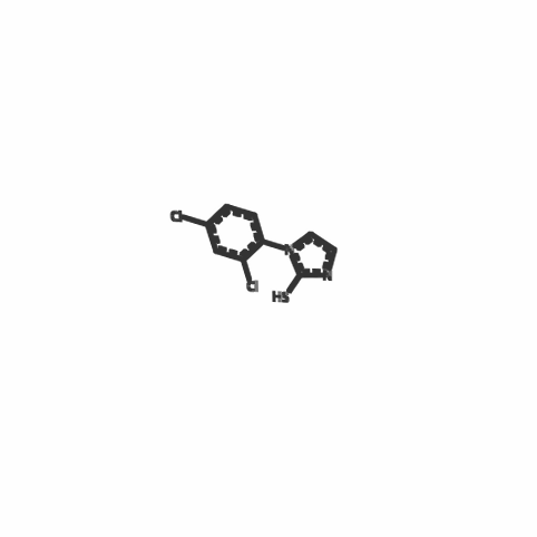 Sc1nccn1-c1ccc(Cl)cc1Cl